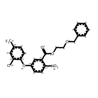 O=C(OCCOCc1ccccc1)c1cc(Oc2ccc(C(F)(F)F)cc2Cl)ccc1[N+](=O)[O-]